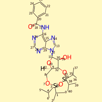 CC(C)[Si]1(C(C)C)OC[C@H]2O[C@@H](n3cnc4c(NC(=O)c5ccccc5)ncnc43)[C@@H](O)C2O[Si](C(C)C)(C(C)C)O1